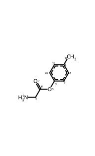 Cc1ccc(OC(=O)CN)cc1